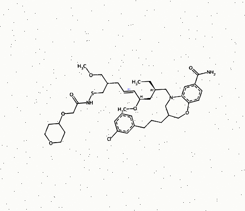 CC[C@H](C[C@H](/C=C/CC(COC)CSNC(=O)COC1CCOCC1)OC)CN1CC(CCCc2cccc(Cl)c2)COc2ccc(C(N)=O)cc21